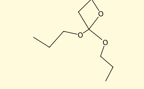 CCCOC1(OCCC)CCO1